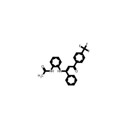 CC(=O)Nc1ccccc1NC(=CC(=O)c1ccc(C(F)(F)F)cc1)c1ccccc1